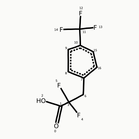 O=C(O)C(F)(F)Cc1ccc(C(F)(F)F)cc1